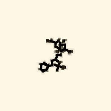 COC1C[C@@H]2[C@@H](C=CC(CCc3ccccc3)O[Si](C)(C)C(C)(C)C)[C@H](O)C[C@@H]2O1